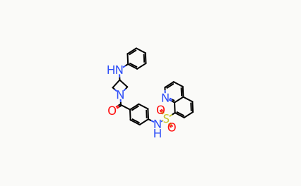 O=C(c1ccc(NS(=O)(=O)c2cccc3cccnc23)cc1)N1CC(Nc2ccccc2)C1